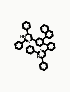 C1=C(c2ccc(-c3ccccc3-c3cc(-c4ccccc4)nc(-c4ccccc4)n3)c(-c3cccc4ccccc34)c2)N=C(c2ccccc2)NC1c1ccccc1